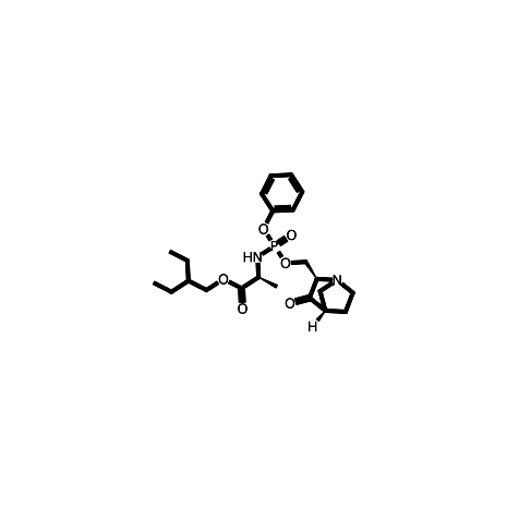 CCC(CC)COC(=O)[C@H](C)NP(=O)(OC[C@@H]1C(=O)[C@H]2CCN1C2)Oc1ccccc1